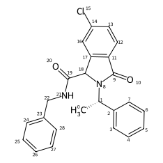 C[C@@H](c1ccccc1)N1C(=O)c2ccc(Cl)cc2C1C(=O)NCc1ccccc1